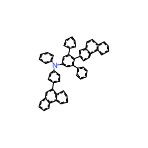 c1ccc(-c2cc(N(c3ccccc3)c3ccc(-c4cc5ccccc5c5ccccc45)cc3)cc(-c3ccccc3)c2-c2ccc3c(ccc4ccccc43)c2)cc1